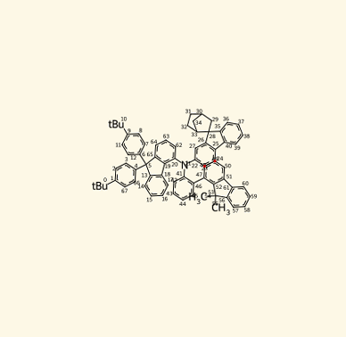 CC(C)(C)c1ccc(C2(c3ccc(C(C)(C)C)cc3)c3ccccc3-c3c(N(c4ccc5c(c4)C4(CC6CCC4C6)c4ccccc4-5)c4ccccc4-c4cccc5c4C(C)(C)c4ccccc4-5)cccc32)cc1